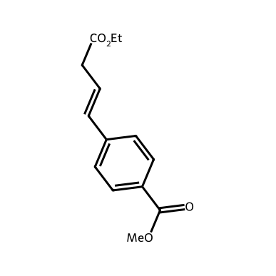 CCOC(=O)CC=Cc1ccc(C(=O)OC)cc1